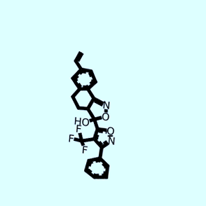 C=Cc1ccc2c(c1)CCC1C2=NOC1(O)c1onc(-c2ccccc2)c1C(F)(F)F